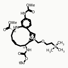 COC(=O)Nc1ccc2c(c1)N[C@@H](C(=O)OC)CC=CC[C@H](NC(=O)OC(C)(C)C)c1nc-2cn1COCC[Si](C)(C)C